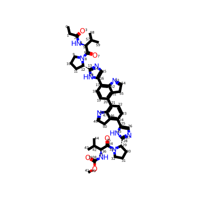 CCC(=O)N[C@H](C(=O)N1CCC[C@H]1c1ncc(-c2ccc(-c3ccc(-c4cnc([C@@H]5CCCN5C(=O)[C@@H](NC(=O)OC)C(C)C)[nH]4)c4c3N=CC4)c3c2N=CC3)[nH]1)C(C)C